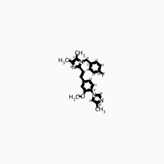 COc1cc(C=Cc2nc(C)c(C)n2Cc2ccc(F)cc2)ccc1-n1cnc(C)c1